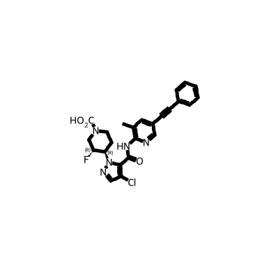 Cc1cc(C#Cc2ccccc2)cnc1NC(=O)c1c(Cl)cnn1[C@@H]1CCN(C(=O)O)C[C@H]1F